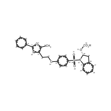 Cc1oc(-c2ccccc2)nc1CCOc1ccc(S(=O)(=O)N2c3ccccc3C[C@H]2OC(=O)O)cc1